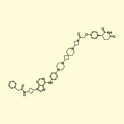 O=C1CC[C@@H](c2ccc(OCC(=O)N3CC(N4CCC5(CC4)CC(N4CCN(c6ccc(Nc7ncnc8c7ncn8C7CC(NC(=O)Cc8ccccc8)C7)cc6)CC4)C5)C3)cc2)C(=O)N1